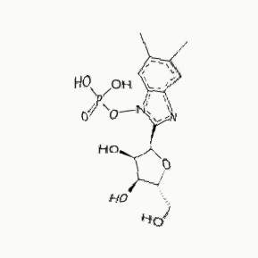 Cc1cc2nc([C@H]3O[C@H](CO)[C@@H](O)[C@H]3O)n(OP(=O)(O)O)c2cc1C